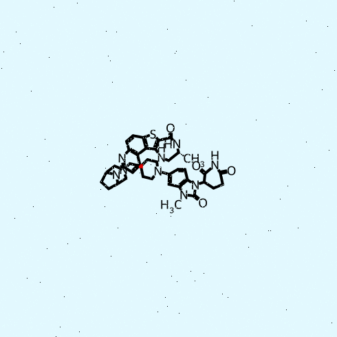 C[C@@H]1CNc2c(sc3ccc4nc(N5C6CCC5CN(CC5CCN(c7ccc8c(c7)n(C)c(=O)n8C7CCC(=O)NC7=O)CC5)C6)ccc4c23)C(=O)N1